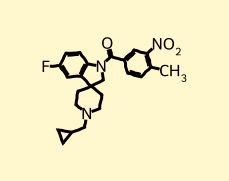 Cc1ccc(C(=O)N2CC3(CCN(CC4CC4)CC3)c3cc(F)ccc32)cc1[N+](=O)[O-]